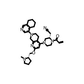 C=CC(=O)N1CCN(c2cc(OC[C@@H]3CCCN3C)nc3c2CCN(c2cncc4c2CCCC4)C3)C[C@@H]1CC#N